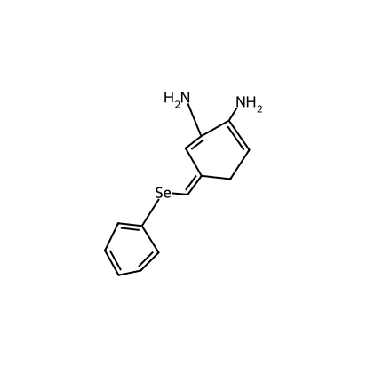 NC1=CCC(=C[Se]c2ccccc2)C=C1N